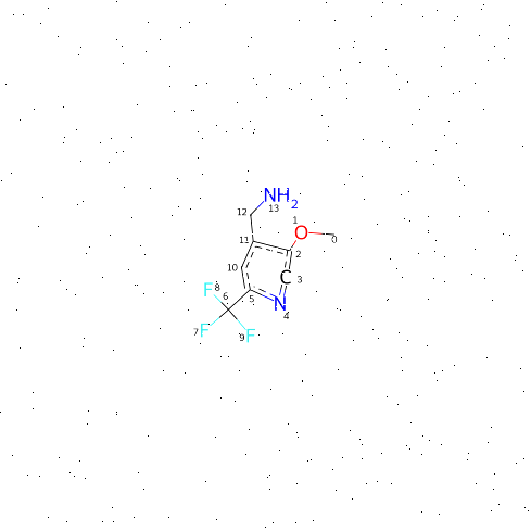 COc1cnc(C(F)(F)F)cc1CN